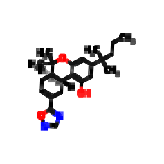 CCCC(C)(C)c1cc(O)c2c(c1)OC(C)(C)[C@@H]1CC=C(c3ncno3)C[C@@H]21